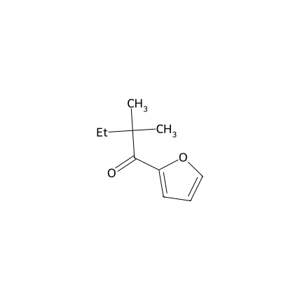 CCC(C)(C)C(=O)c1ccco1